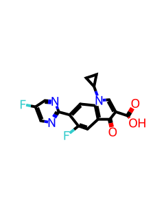 O=C(O)c1cn(C2CC2)c2cc(-c3ncc(F)cn3)c(F)cc2c1=O